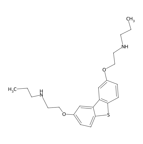 CCCNCCOc1ccc2sc3ccc(OCCNCCC)cc3c2c1